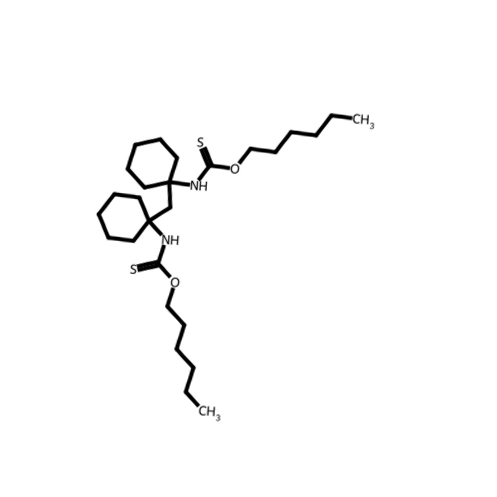 CCCCCCOC(=S)NC1(CC2(NC(=S)OCCCCCC)CCCCC2)CCCCC1